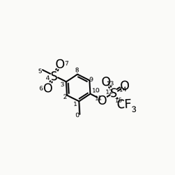 Cc1cc(S(C)(=O)=O)ccc1OS(=O)(=O)C(F)(F)F